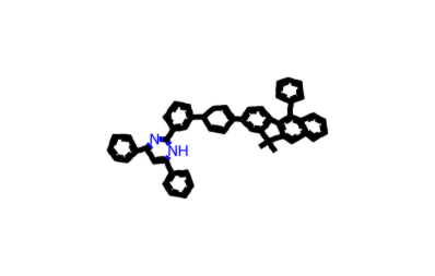 CC1(C)c2cc(C3=CCC(c4cccc(C5N=C(c6ccccc6)C=C(c6ccccc6)N5)c4)C=C3)ccc2-c2c1cc1ccccc1c2-c1ccccc1